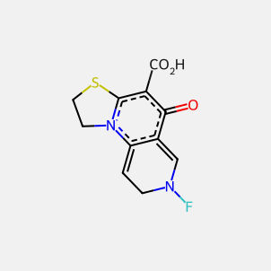 O=C(O)c1c2n(c3c(c1=O)=CN(F)CC=3)CCS2